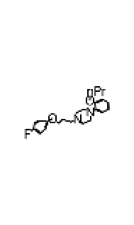 CCCOc1ccccc1N1CCN(CCCOc2ccc(F)cc2)CC1